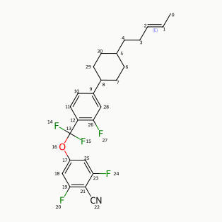 C/C=C/CCC1CCC(c2ccc(C(F)(F)Oc3cc(F)c(C#N)c(F)c3)c(F)c2)CC1